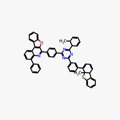 CC1C=CC=CC1c1nc(-c2ccc(-c3nc4c(-c5ccccc5)cccc4c4c3oc3ccccc34)cc2)nc(-c2cccc(C3=CC=CC4c5ccccc5SC34C)c2)n1